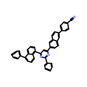 N#Cc1ccc(-c2ccc3cc(-c4cc(-c5cccc6c(-c7ccccc7)cccc56)nc(-c5ccccc5)n4)ccc3c2)cc1